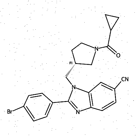 N#Cc1ccc2nc(-c3ccc(Br)cc3)n(C[C@@H]3CCN(C(=O)C4CC4)C3)c2c1